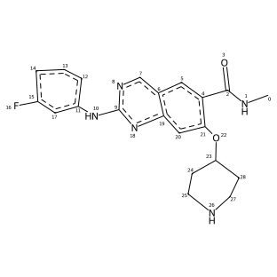 CNC(=O)c1cc2cnc(Nc3cccc(F)c3)nc2cc1OC1CCNCC1